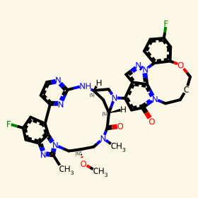 CO[C@H]1CN(C)C(=O)[C@@H]2C[C@@H](CN2c2cc(=O)n3c4c2cnn4-c2ccc(F)cc2OCCCC3)Nc2nccc(n2)-c2cc(F)cc3nc(C)n(c23)C1